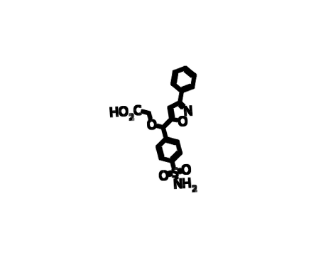 NS(=O)(=O)c1ccc(C(OCC(=O)O)c2cc(-c3ccccc3)no2)cc1